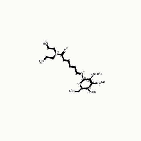 CC(=O)N[C@H]1C(OC(C)=O)[C@@H](OC(C)=O)C(COC(C)=O)O[C@H]1OCCCCCC(=O)N(CCO)CCO